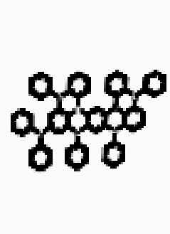 c1ccc(N(c2ccccc2)c2cc3c4c(c2)N(c2ccccc2)c2cc5c(cc2B4c2ccccc2N3c2ccccc2)B2c3ccccc3N(c3ccccc3)c3cccc(c32)N5c2ccccc2)cc1